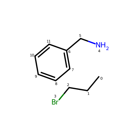 CCCBr.NCc1ccccc1